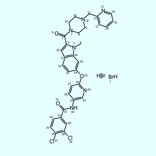 Br.Br.Cn1c(C(=O)N2CCN(Cc3ccccn3)CC2)cc2ccc(Oc3ccc(NC(=O)c4ccc(Cl)c(Cl)c4)cn3)cc21